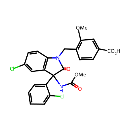 COC(=O)NC1(c2ccccc2Cl)C(=O)N(Cc2ccc(C(=O)O)cc2OC)c2ccc(Cl)cc21